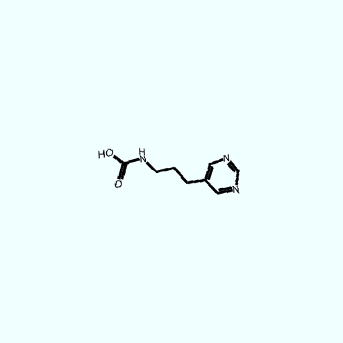 O=C(O)NCCCc1cncnc1